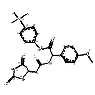 COc1ccc(C(NC(=O)CC2NC(=O)NC2=O)C(=O)Nc2ccc(S(C)(C)C)cc2)cc1